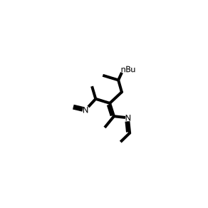 C=NC(C)/C(CC(C)CCCC)=C(C)/N=C\C